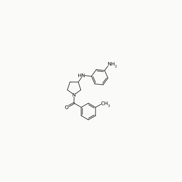 Cc1cccc(C(=O)N2CCC(Nc3cccc(N)c3)C2)c1